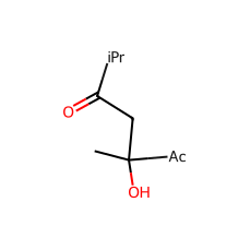 CC(=O)C(C)(O)CC(=O)C(C)C